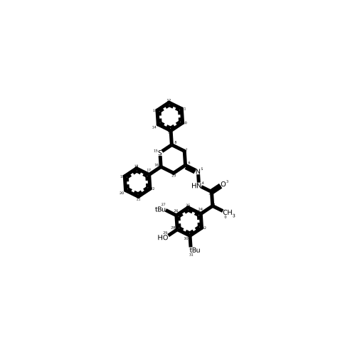 CC(C(=O)NN=C1CC(c2ccccc2)SC(c2ccccc2)C1)c1cc(C(C)(C)C)c(O)c(C(C)(C)C)c1